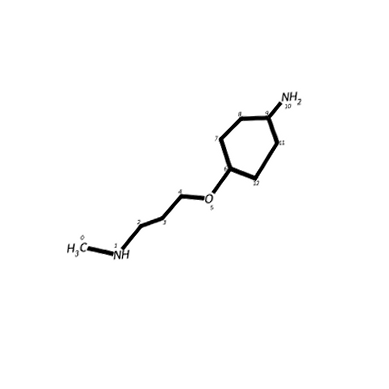 CNCCCOC1CCC(N)CC1